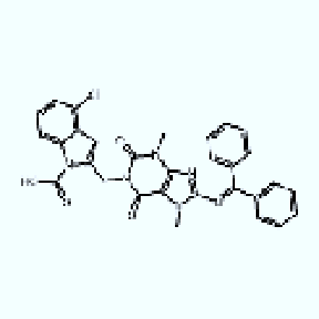 Cn1c(N=C(c2ccccc2)c2ccccc2)nc2c1c(=O)n(Cc1cc3c(Cl)cccc3n1C(=O)O)c(=O)n2C